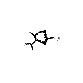 Cc1ccc(C(=O)O)cc1C(C)S